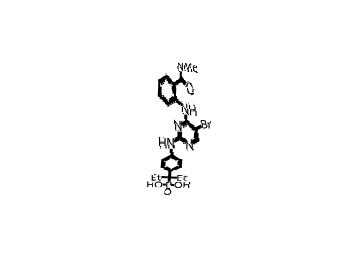 CCC(CC)(c1ccc(Nc2ncc(Br)c(Nc3ccccc3C(=O)NC)n2)cc1)P(=O)(O)O